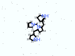 C1=CCN(CN2C(CC3=CNCCC3)CCC2CC2CCCNC2)C1